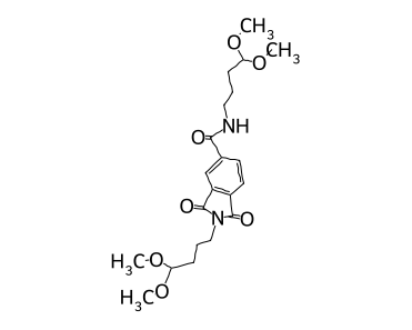 COC(CCCNC(=O)c1ccc2c(c1)C(=O)N(CCCC(OC)OC)C2=O)OC